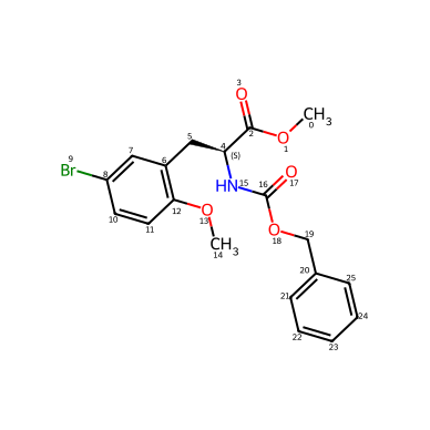 COC(=O)[C@H](Cc1cc(Br)ccc1OC)NC(=O)OCc1ccccc1